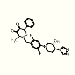 C[C@H]1C(=O)C(=O)[C@@H](c2ccccc2)SN1Cc1cc(F)c(N2CC[C@H](n3cnnc3)[C@@H](O)C2)cc1F